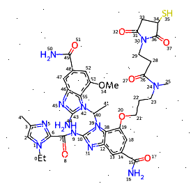 CCn1cc(C)nc1C(=O)Nc1nc2cc(C(N)=O)cc(OCCCN(C)C(=O)CCN3C(=O)CC(S)C3=O)c2n1C(C)n1c(N)nc2cc(C(N)=O)cc(OC)c21